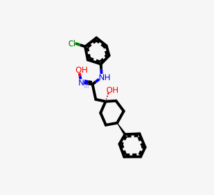 O/N=C(/C[C@]1(O)CC[C@H](c2ccccc2)CC1)Nc1cccc(Cl)c1